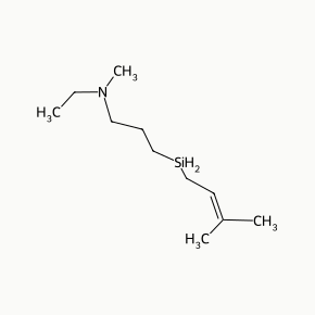 CCN(C)CCC[SiH2]CC=C(C)C